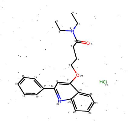 CCN(CC)C(=O)CCCOc1cc(-c2ccccc2)nc2ccccc12.Cl